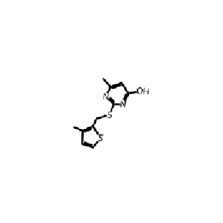 Cc1cc(O)nc(SCc2sccc2C)n1